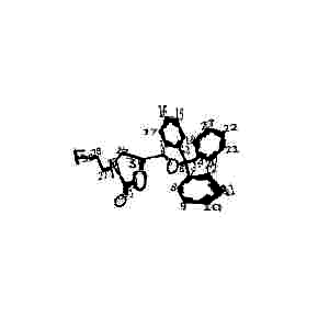 O=C1O[C@H](COC(c2ccccc2)(c2ccccc2)c2ccccc2)CN1CCF